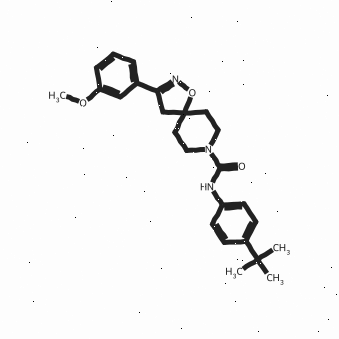 COc1cccc(C2=NOC3(CCN(C(=O)Nc4ccc(C(C)(C)C)cc4)CC3)C2)c1